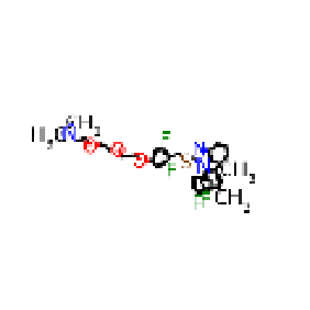 Cc1cc(C2(C)CCCc3nc(SCc4c(F)cc(OCCOCCOCCN(C)C)cc4F)n(-c4ccc(F)cc4)c32)ccc1F